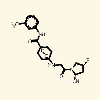 N#C[C@@H]1C[C@H](F)CN1C(=O)CNC12CCC(C(=O)Nc3cccc(C(F)(F)F)c3)(CC1)CC2